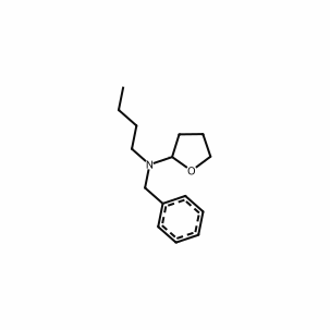 CCCCN(Cc1ccccc1)[C]1CCCO1